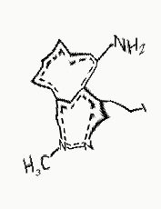 Cn1nc(I)c2c(N)cccc21